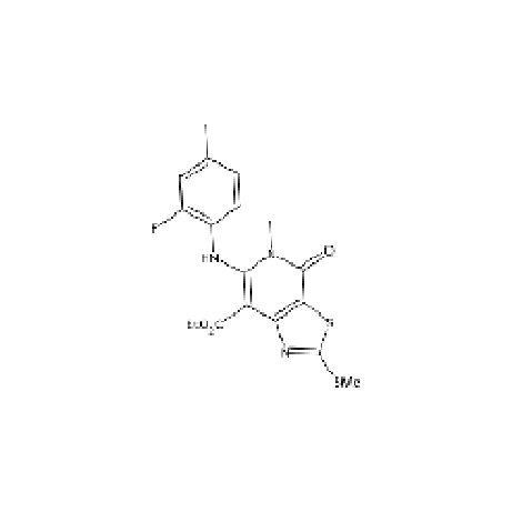 CCOC(=O)c1c(Nc2ccc(C)cc2F)n(C)c(=O)c2sc(SC)nc12